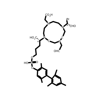 Cc1cc(C)c(-c2cc(C)c(OP(=O)(O)OCCC[C@H](C(=O)O)N3CCN(CC=O)CCN([C@@H](C=O)C(C)C)CCN(CC(=O)O)CC3)cc2C)c(C)c1